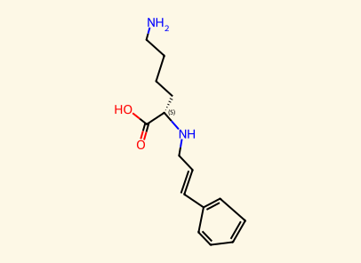 NCCCC[C@H](NCC=Cc1ccccc1)C(=O)O